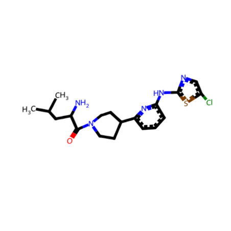 CC(C)CC(N)C(=O)N1CCC(c2cccc(Nc3ncc(Cl)s3)n2)CC1